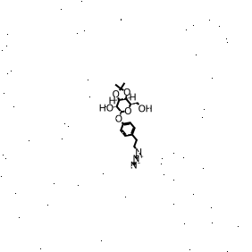 CC1(C)O[C@@H]2[C@@H](O)[C@H](Oc3ccc(CCN=[N+]=[N-])cc3)O[C@H](CO)[C@@H]2O1